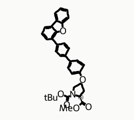 COC(=O)[C@@H]1CC(Oc2ccc(-c3ccc(-c4cccc5c4oc4ccccc45)cc3)cc2)CN1C(=O)OC(C)(C)C